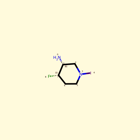 N[C@@H]1CN(I)CC[C@@H]1F